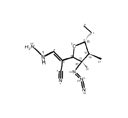 CC[C@H]1OC(C(C#N)=CNN)[C@](C)(N=[N+]=[N-])[C@@H]1C